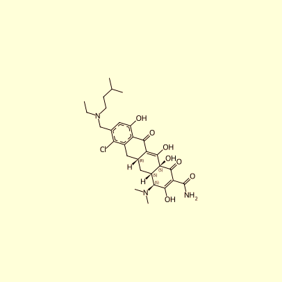 CCN(CCC(C)C)Cc1cc(O)c2c(c1Cl)C[C@H]1C[C@H]3[C@H](N(C)C)C(O)=C(C(N)=O)C(=O)[C@@]3(O)C(O)=C1C2=O